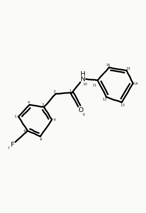 O=C(Cc1ccc(F)cc1)Nc1ccccc1